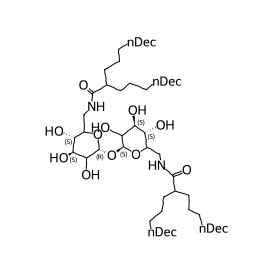 CCCCCCCCCCCCCC(CCCCCCCCCCCCC)C(=O)NCC1O[C@H](O[C@@H]2OC(CNC(=O)C(CCCCCCCCCCCCC)CCCCCCCCCCCCC)[C@@H](O)[C@H](O)C2O)C(O)[C@@H](O)[C@@H]1O